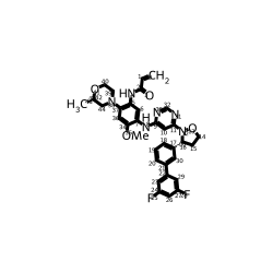 C=CC(=O)Nc1cc(Nc2cc(N3OCC[C@@H]3c3cccc(-c4cc(F)cc(F)c4)c3)ncn2)c(OC)cc1N1CCO[C@H](C)C1